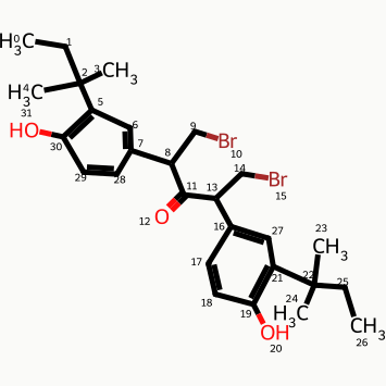 CCC(C)(C)c1cc(C(CBr)C(=O)C(CBr)c2ccc(O)c(C(C)(C)CC)c2)ccc1O